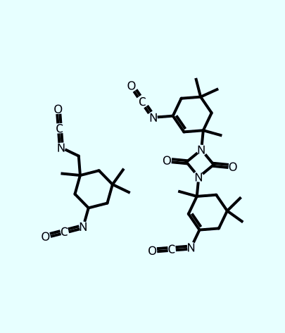 CC1(C)CC(N=C=O)=CC(C)(N2C(=O)N(C3(C)C=C(N=C=O)CC(C)(C)C3)C2=O)C1.CC1(C)CC(N=C=O)CC(C)(CN=C=O)C1